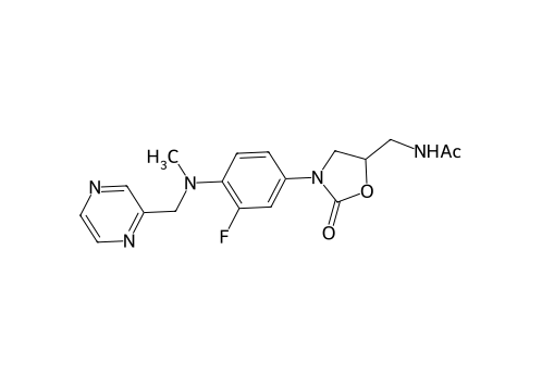 CC(=O)NCC1CN(c2ccc(N(C)Cc3cnccn3)c(F)c2)C(=O)O1